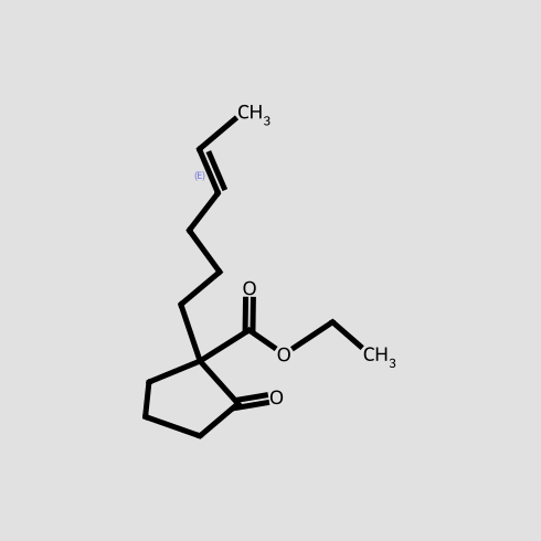 C/C=C/CCCC1(C(=O)OCC)CCCC1=O